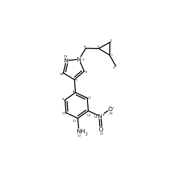 CC1CC1Cn1cc(-c2ccc(N)c([N+](=O)[O-])c2)cn1